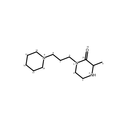 CC1NCCN(CCCN2CCCCC2)C1=O